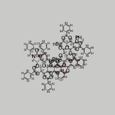 CCCCOCC1OC(OCCN(Cc2ccccc2)C(=O)OCc2ccccc2)C(OC(=O)c2ccccc2)C(OC(=O)c2ccccc2)C1OC1OC2COC(c3ccccc3)OC2C(OC2OC(COCCCC)C(OC3OC4COC(c5ccccc5)OC4C(OP)C3OC(=O)c3ccccc3)C(OC(=O)c3ccccc3)C2OC(=O)c2ccccc2)C1OC(=O)c1ccccc1